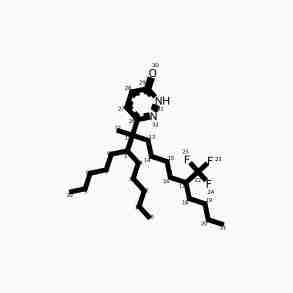 CCCCCC(CCCCC)C(C)(CCCCC(CCCC)C(F)(F)F)c1ccc(=O)[nH]n1